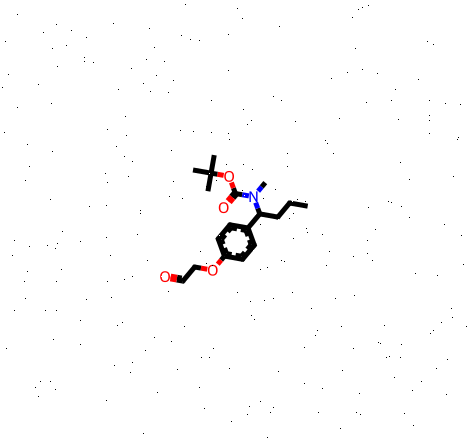 CCCC(c1ccc(OCC=O)cc1)N(C)C(=O)OC(C)(C)C